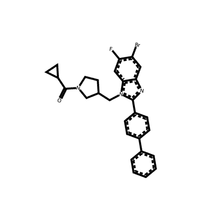 O=C(C1CC1)N1CCC(Cn2c(-c3ccc(-c4ccccc4)cc3)nc3cc(Br)c(F)cc32)C1